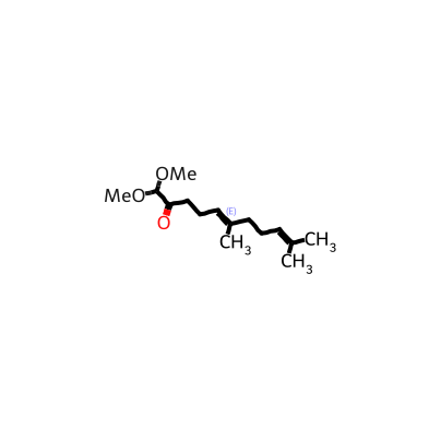 COC(OC)C(=O)CC/C=C(\C)CCC=C(C)C